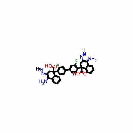 [H]/N=N/C1=C(N)c2ccccc2C(C(=O)O)(c2ccc(-c3ccc(C4(C(=O)O)CC(/N=N/[H])=C(N)c5ccccc54)c(F)c3)cc2F)C1